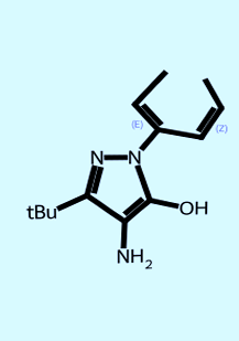 C/C=C\C(=C/C)n1nc(C(C)(C)C)c(N)c1O